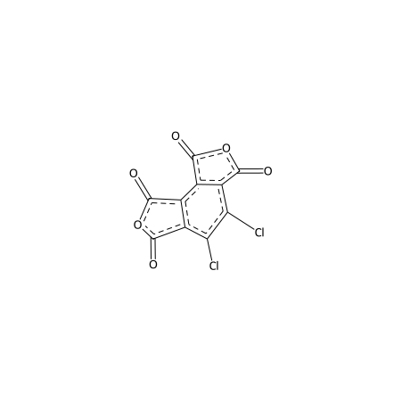 O=c1oc(=O)c2c1c(Cl)c(Cl)c1c(=O)oc(=O)c12